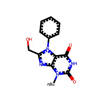 CCCCn1c(=O)[nH]c(=O)c2c1nc(CO)n2-c1ccccc1